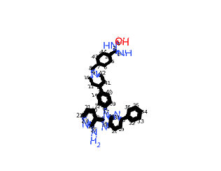 N=C(NO)C1CCC(CN2CCC(c3ccc(-n4c(-c5cccnc5N)nc5ccc(-c6ccccc6)nc54)cc3)CC2)CC1